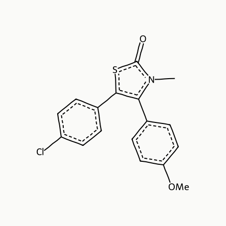 COc1ccc(-c2c(-c3ccc(Cl)cc3)sc(=O)n2C)cc1